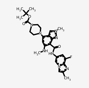 CNc1cc(N2CCN(C(=O)OC(C)(C)C)CC2)c2cn(C)nc2c1C(=O)Nc1cc(F)c2nc(C)cn2c1